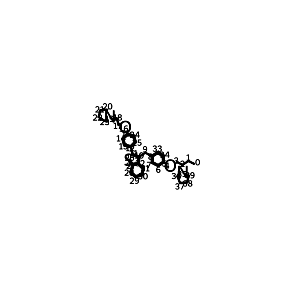 CCC(COc1ccc(Cc2c(-c3ccc(OCCN4CCCC4)cc3)sc3ccccc23)cc1)N1CCCC1